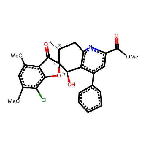 COC(=O)c1cc(-c2ccccc2)c2c(n1)C[C@@H](C)[C@]1(Oc3c(Cl)c(OC)cc(OC)c3C1=O)[C@@H]2O